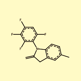 C=C1Cc2cc(C)ccc2N1c1c(F)cc(F)c(F)c1F